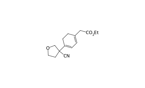 CCOC(=O)CC1=CC=C(C2(C#N)CCOC2)CC1